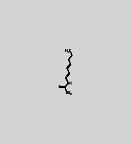 CCCC=CC=NNC(N)=S